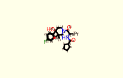 CC(C)C(NC(=O)C1CCCC1)C(=O)N1CC[C@@](O)(c2ccc(F)cc2)C(C)(C)C1